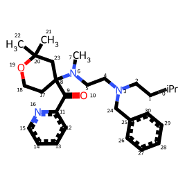 CC(C)CCN(CCN(C)C1(C(=O)c2ccccn2)CCOC(C)(C)C1)Cc1ccccc1